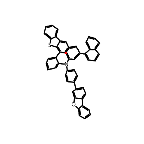 c1cc(-c2cccc3ccccc23)cc(N(c2ccc(-c3ccc4c(c3)oc3ccccc34)cc2)c2ccccc2-c2cccc3c2sc2ccccc23)c1